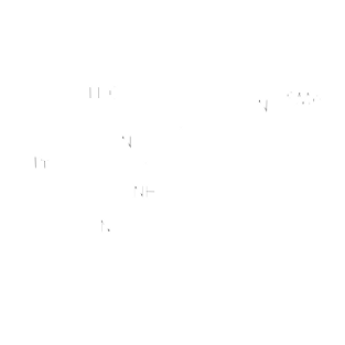 CSN1CCC(c2cc(C)nc(Nc3cc(C(C)C)ccn3)c2)CC1